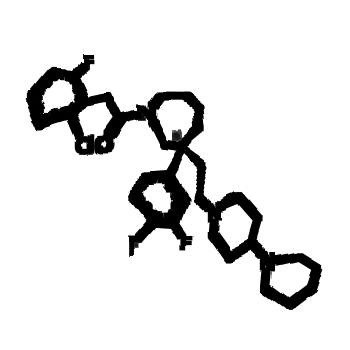 O=C(Cc1c(F)cccc1Cl)N1CCCC[C@](CCN2CCC(N3CCCCC3)CC2)(c2ccc(F)c(F)c2)C1